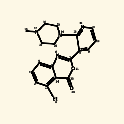 CCc1cccc2nc(-c3cccnc3N3CCN(C)CC3)oc(=O)c12